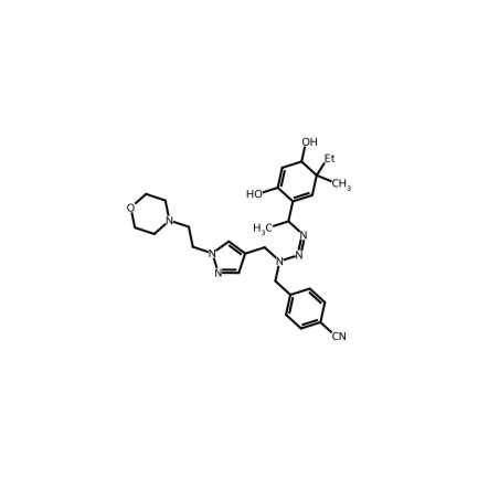 CCC1(C)C=C(C(C)/N=N\N(Cc2ccc(C#N)cc2)Cc2cnn(CCN3CCOCC3)c2)C(O)=CC1O